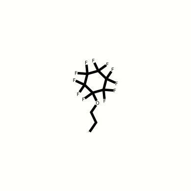 [CH2]CCOC1(F)C(F)(F)C(F)(F)C(F)(F)C(F)(F)C1(F)F